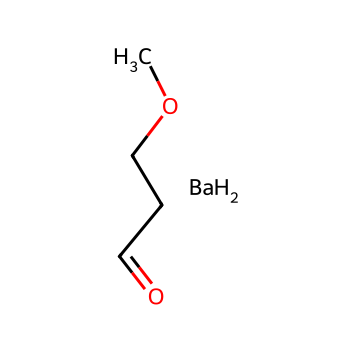 COCCC=O.[BaH2]